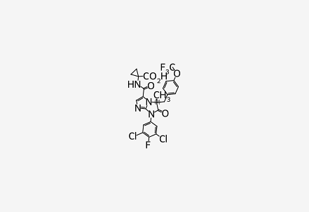 C[C@@]1(Cc2ccc(OC(F)(F)F)cc2)C(=O)N(c2cc(Cl)c(F)c(Cl)c2)c2ncc(C(=O)NC3(C(=O)O)CC3)n21